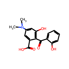 CN(C)c1cc(O)c(C(=O)c2ccccc2O)c(C(=O)O)c1